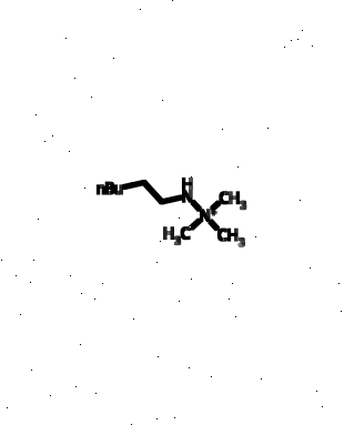 CCCCCCN[N+](C)(C)C